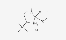 CCC([SiH2]C(OC)(OC)OC)[N+](C)(C)C.[Cl-]